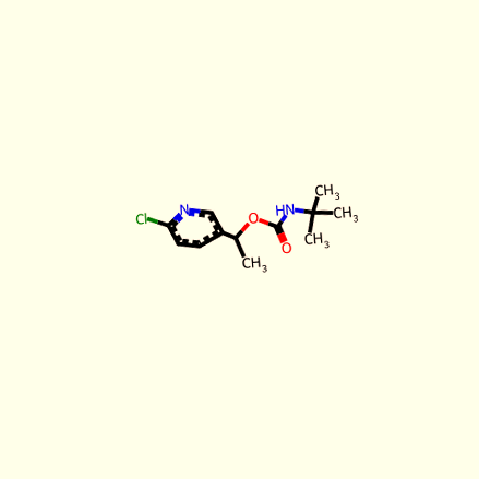 CC(OC(=O)NC(C)(C)C)c1ccc(Cl)nc1